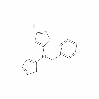 C1=CC[C]([Hf+]([CH2]c2ccccc2)[C]2=CC=CC2)=C1.[Cl-]